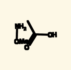 CC(=O)O.CON